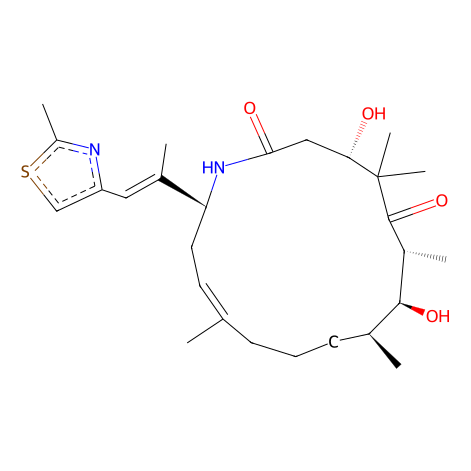 CC1=CC[C@@H](C(C)=Cc2csc(C)n2)NC(=O)C[C@H](O)C(C)(C)C(=O)[C@H](C)[C@@H](O)[C@@H](C)CCC1